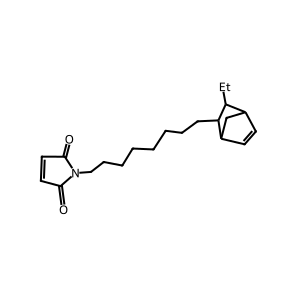 CCC1C2C=CC(C2)C1CCCCCCCCN1C(=O)C=CC1=O